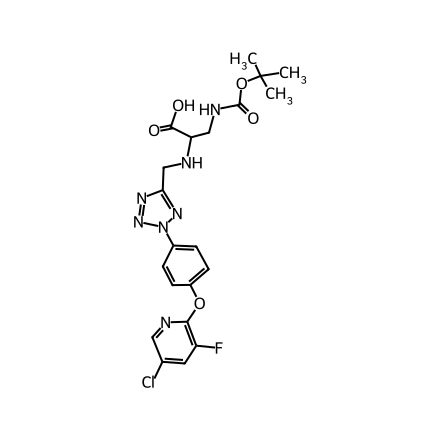 CC(C)(C)OC(=O)NCC(NCc1nnn(-c2ccc(Oc3ncc(Cl)cc3F)cc2)n1)C(=O)O